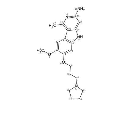 COc1cc2c(cc1OCCCN1CCCC1)[nH]c1cc(N)nc(C)c12